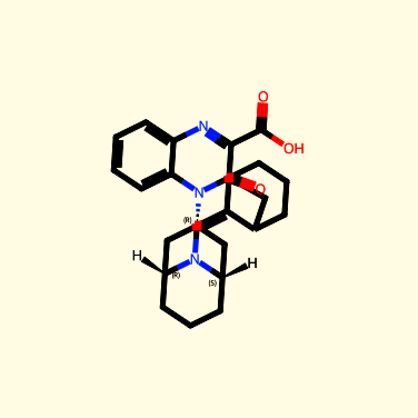 O=C(O)c1nc2ccccc2n([C@H]2C[C@H]3CCC[C@@H](C2)N3C=C2C3CCCC2C3)c1=O